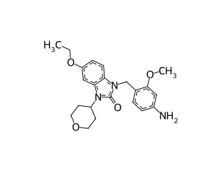 CCOc1ccc2c(c1)n(C1CCOCC1)c(=O)n2Cc1ccc(N)cc1OC